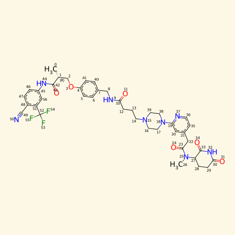 C[C@H](COc1ccc(CNC(=O)CCCN2CCN(c3cc(CC(=O)N(C)C4CCC(=O)NC4=O)ccn3)CC2)cc1)C(=O)Nc1ccc(C#N)c(C(F)(F)F)c1